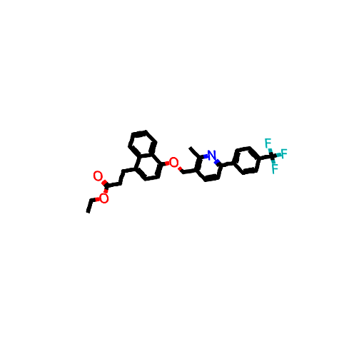 CCOC(=O)CCc1ccc(OCc2ccc(-c3ccc(C(F)(F)F)cc3)nc2C)c2ccccc12